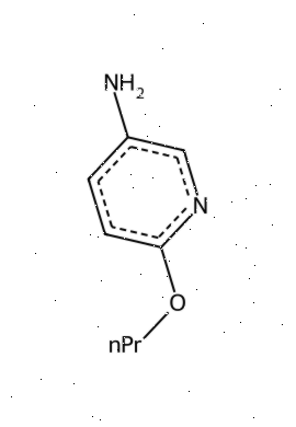 CCCOc1ccc(N)cn1